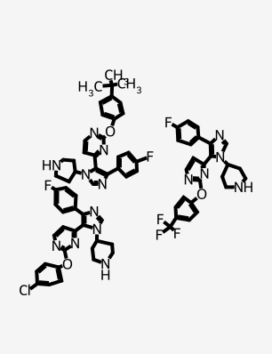 CC(C)(C)c1ccc(Oc2nccc(-c3c(-c4ccc(F)cc4)ncn3C3CCNCC3)n2)cc1.Fc1ccc(-c2ncn(C3CCNCC3)c2-c2ccnc(Oc3ccc(C(F)(F)F)cc3)n2)cc1.Fc1ccc(-c2ncn(C3CCNCC3)c2-c2ccnc(Oc3ccc(Cl)cc3)n2)cc1